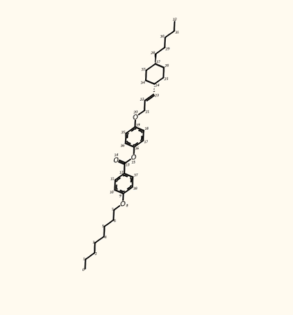 CCCCCCCCOc1ccc(C(=O)Oc2ccc(OC/C=C/[C@H]3CC[C@H](CCCCC)CC3)cc2)cc1